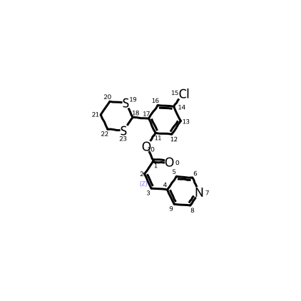 O=C(/C=C\c1ccncc1)Oc1ccc(Cl)cc1C1SCCCS1